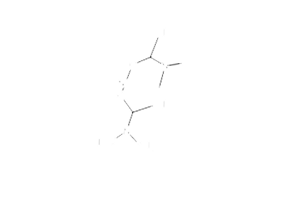 CC([O][Ni][O]C(C)N(C)C)N(C)C